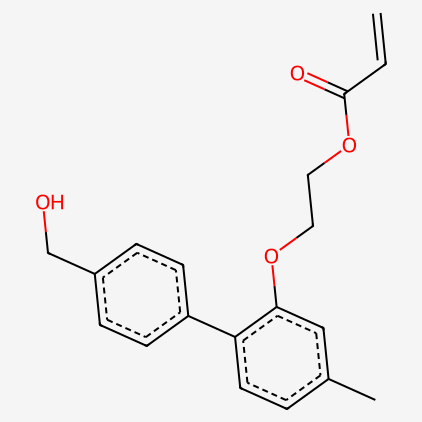 C=CC(=O)OCCOc1cc(C)ccc1-c1ccc(CO)cc1